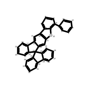 c1ccc(-c2cccc3c2oc2cc4c(cc23)-c2ccccc2C42c3ccccc3-c3ccccc32)cc1